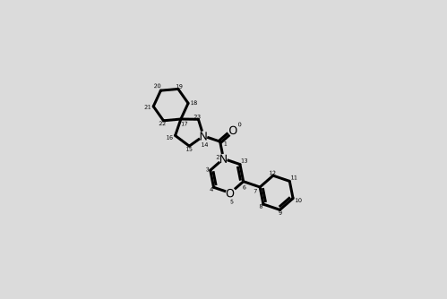 O=C(N1C=COC(C2=CC=CCC2)=C1)N1CCC2(CCCCC2)C1